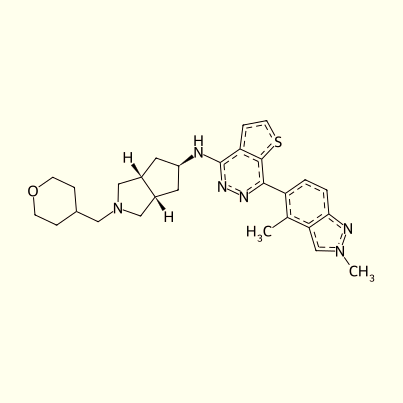 Cc1c(-c2nnc(N[C@H]3C[C@@H]4CN(CC5CCOCC5)C[C@@H]4C3)c3ccsc23)ccc2nn(C)cc12